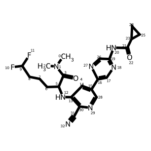 CN(C)C(=O)C(CCCC(F)F)Nc1cc(-c2cnc(NC(=O)C3CC3)cn2)cnc1C#N